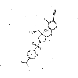 N#Cc1ccc(O[C@H]2CN(S(=O)(=O)c3ccc(C(F)F)cn3)C[C@@]2(O)CN)cc1F